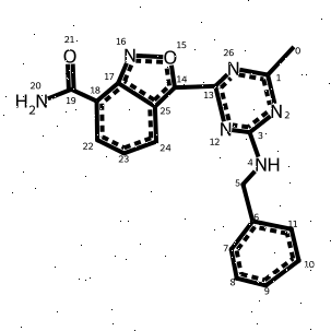 Cc1nc(NCc2ccccc2)nc(-c2onc3c(C(N)=O)cccc23)n1